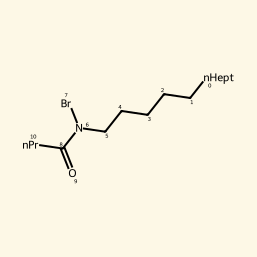 CCCCCCCCCCCCN(Br)C(=O)CCC